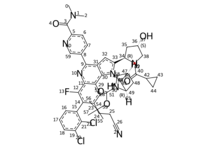 CN(C)C(=O)c1ccc(-c2nc3c(F)c(-c4cccc(Cl)c4Cl)c(CCC#N)cc3c3c2cc([C@H]2C[C@H](O)CN2C(=O)C2CC2)n3[C@H]2[C@@H]3C[C@H]2N(C(=O)OC(C)(C)C)C3)cn1